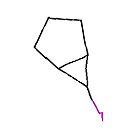 IC1C2CCCC12